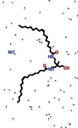 CCCCCCCC/C=C\CCCCCCCC(=O)NCCC(C)(CCO)CCNC(=O)CCCCCCC/C=C\CCCCCCCC.N